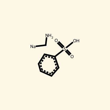 N[CH2][Na].O=S(=O)(O)c1ccccc1